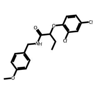 CCC(Oc1ccc(Cl)cc1Cl)C(=O)NCc1ccc(OC)cc1